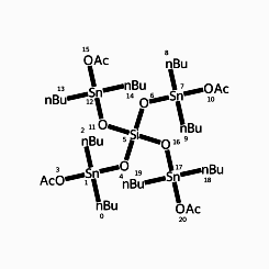 CCC[CH2][Sn]([CH2]CCC)([O]C(C)=O)[O][Si]([O][Sn]([CH2]CCC)([CH2]CCC)[O]C(C)=O)([O][Sn]([CH2]CCC)([CH2]CCC)[O]C(C)=O)[O][Sn]([CH2]CCC)([CH2]CCC)[O]C(C)=O